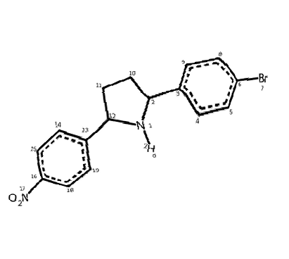 [2H]N1C(c2ccc(Br)cc2)CCC1c1ccc([N+](=O)[O-])cc1